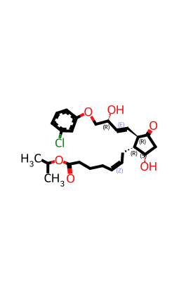 CC(C)OC(=O)CCC/C=C\C[C@H]1[C@@H](O)CC(=O)[C@@H]1/C=C/[C@@H](O)COc1cccc(Cl)c1